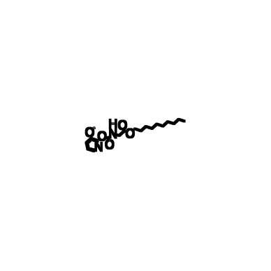 CCCCCCCCCCOC(=O)CNC(=O)Oc1ncccc1OC